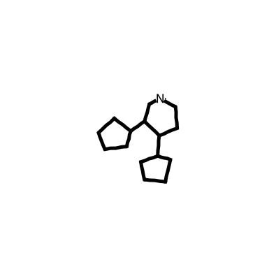 C1CCC(C2CC[N]CC2C2CCCC2)C1